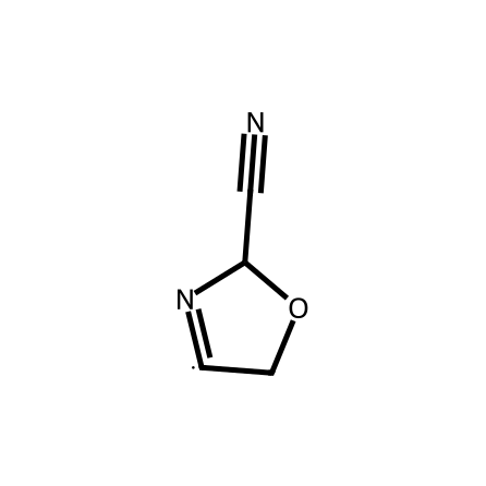 N#CC1N=[C]CO1